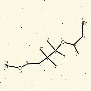 CC(C)CC(C)OC(C)(C)C(C)(C)CCOC(C)C